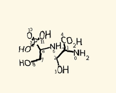 NC(CO)C(=O)O.NC(CO)P(=O)(O)O